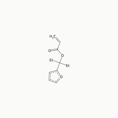 C=CC(=O)OC(CC)(CC)c1ccco1